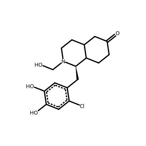 O=C1CCC2C(CCN(CO)[C@@H]2Cc2cc(O)c(O)cc2Cl)C1